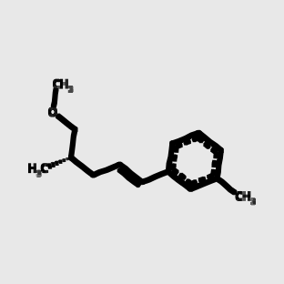 COC[C@@H](C)C/C=C/c1cccc(C)c1